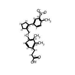 Cc1ccc(C2=C(COc3ccc(CCC(=O)O)c(C)c3C)CCC2)cc1[N+](=O)[O-]